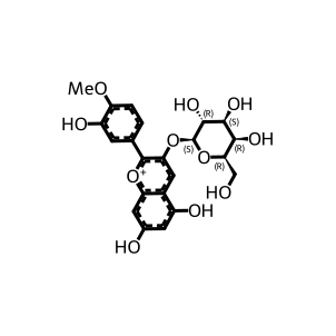 COc1ccc(-c2[o+]c3cc(O)cc(O)c3cc2O[C@@H]2O[C@H](CO)[C@H](O)[C@H](O)[C@H]2O)cc1O